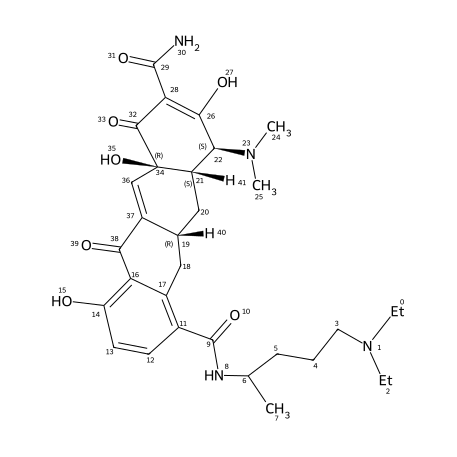 CCN(CC)CCCC(C)NC(=O)c1ccc(O)c2c1C[C@H]1C[C@H]3[C@H](N(C)C)C(O)=C(C(N)=O)C(=O)[C@@]3(O)C=C1C2=O